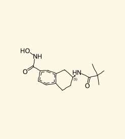 CC(C)(C)C(=O)N[C@H]1CCc2ccc(C(=O)NO)cc2C1